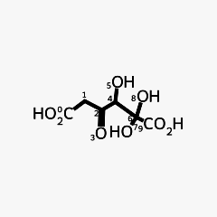 O=C(O)CC(=O)C(O)C(O)(O)C(=O)O